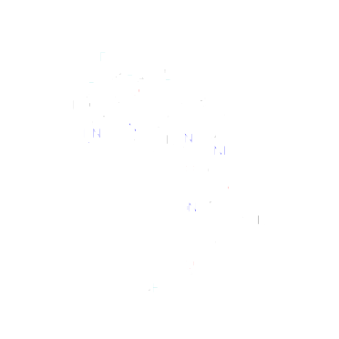 Cc1cc(OCF)cnc1OC(=O)Nc1ccc(F)c(C2(C)COC(C)(C(F)(F)F)C(N)=N2)n1